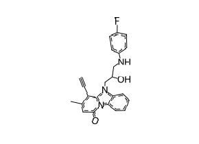 C#Cc1c(C)cc(=O)n2c3ccccc3n(CC(O)CNc3ccc(F)cc3)c12